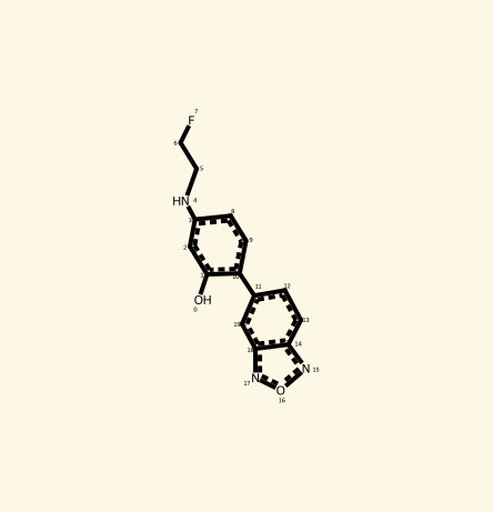 Oc1cc(NCCF)ccc1-c1ccc2nonc2c1